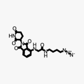 [N-]=[N+]=NCCCCNC(=O)CNc1cccc2c1C(=O)N(C1CCC(=O)NC1=O)C2=O